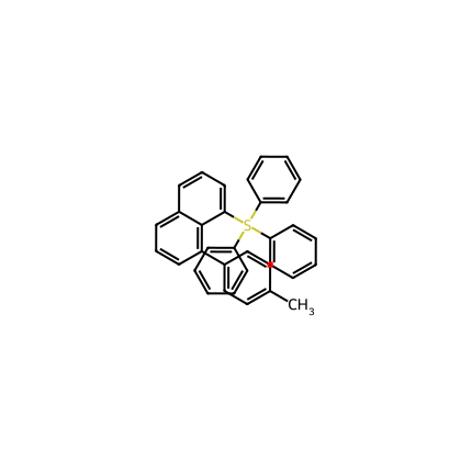 Cc1ccc(-c2cccc3cccc(S(c4ccccc4)(c4ccccc4)c4ccccc4)c23)cc1